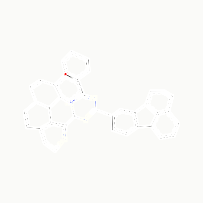 C1=CC2C=Cc3ccnc(C4N=C(c5ccc6c(c5)-c5cccc7cccc-6c57)N=C(c5ccccc5)N4)c3C2c2ccccc21